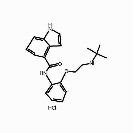 CC(C)(C)NCCOc1ccccc1NC(=O)c1cccc2[nH]ccc12.Cl